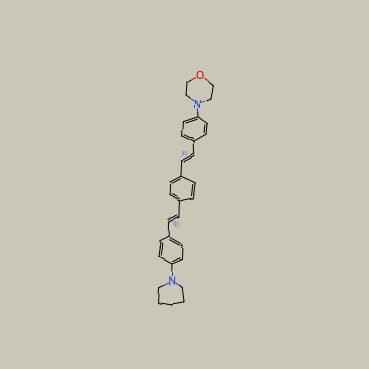 C(=C\c1ccc(N2CCCCC2)cc1)/c1ccc(/C=C/c2ccc(N3CCOCC3)cc2)cc1